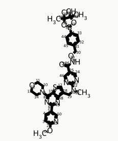 COc1ccc(-c2nc(N3CCOCC3)c3scc(CN(C)c4ncc(C(=O)NOCc5ccc(B6OC(C)(C)C(C)(C)O6)cc5)cn4)c3n2)cn1